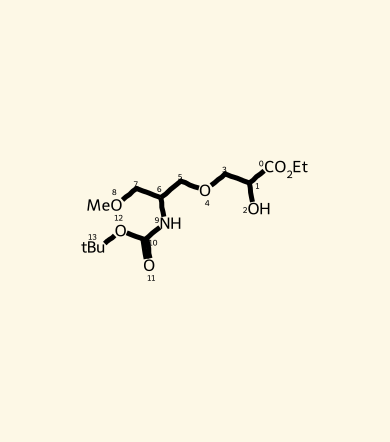 CCOC(=O)C(O)COCC(COC)NC(=O)OC(C)(C)C